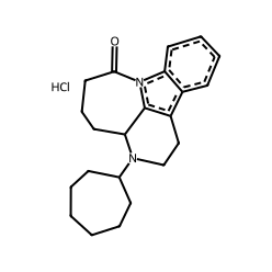 Cl.O=C1CCCC2c3c(c4ccccc4n31)CCN2C1CCCCCC1